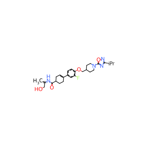 CC(C)c1noc(N2CCC(COc3ccc(C4=CCC(C(=O)N[C@H](C)CO)CC4)cc3F)CC2)n1